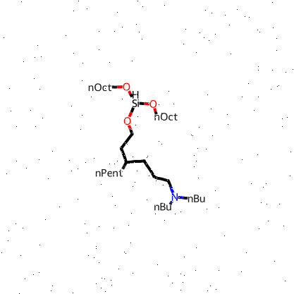 CCCCCCCCO[SiH](OCCCCCCCC)OCCC(CCCCC)CCCN(CCCC)CCCC